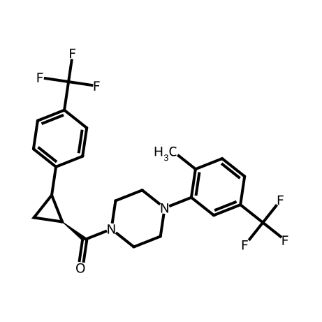 Cc1ccc(C(F)(F)F)cc1N1CCN(C(=O)[C@H]2CC2c2ccc(C(F)(F)F)cc2)CC1